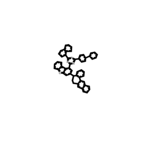 c1ccc(-c2ccc(-c3nc(-c4cccc5ccccc45)nc(-c4cc(C5CCc6cc7ccccc7cc6-c6ccccc65)cc5oc6ccccc6c45)n3)cc2)cc1